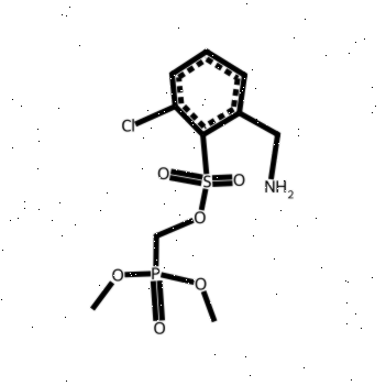 COP(=O)(COS(=O)(=O)c1c(Cl)cccc1CN)OC